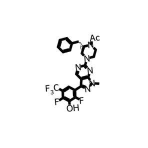 CC(=O)N1CCN(c2ncc3c(-c4cc(C(F)(F)F)c(F)c(O)c4F)nn(C)c3n2)C[C@@H]1Cc1ccccc1